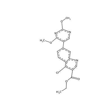 CCOC(=O)c1cnc2cc(-c3cnc(OC)nc3OC)ccc2c1Cl